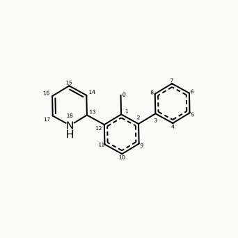 Cc1c(-c2ccccc2)cccc1C1C=CC=CN1